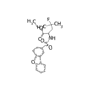 CCOC(=O)C(CC(C)(C)F)NS(=O)(=O)c1ccc2oc3ccccc3c2c1